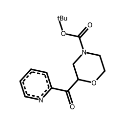 CC(C)(C)OC(=O)N1CCOC(C(=O)c2ccccn2)C1